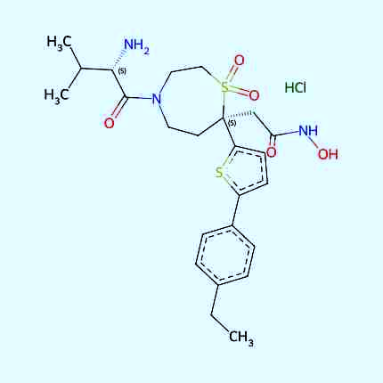 CCc1ccc(-c2ccc([C@@]3(CC(=O)NO)CCN(C(=O)[C@@H](N)C(C)C)CCS3(=O)=O)s2)cc1.Cl